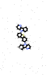 c1cc(-n2c3ccccc3c3ncccc32)c2sc3ccc(-n4c5ccccc5c5ncccc54)cc3c2c1